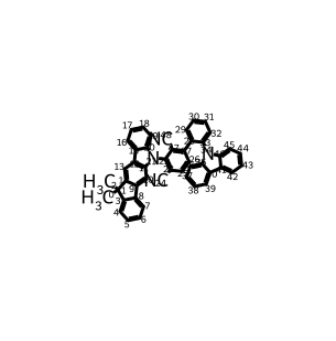 CC1(C)c2ccccc2-c2cc3c(cc21)c1ccccc1n3-c1c(C#N)ccc(-c2ccccc2-n2c3ccccc3c3ccccc32)c1C#N